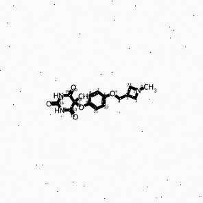 CN1CC(COc2ccc(OC3(C)C(=O)NC(=O)NC3=O)cc2)C1